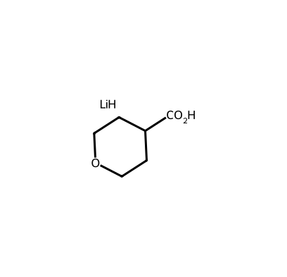 O=C(O)C1CCOCC1.[LiH]